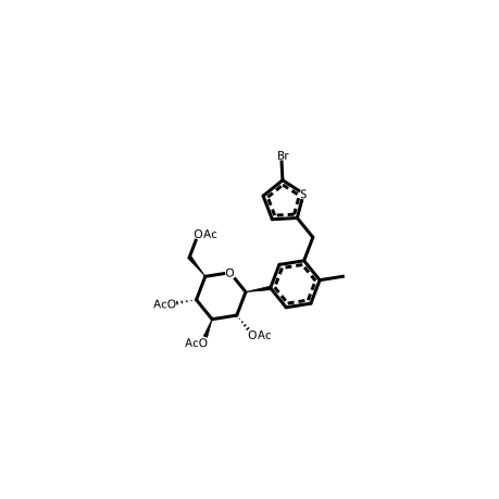 CC(=O)OC[C@H]1O[C@@H](c2ccc(C)c(Cc3ccc(Br)s3)c2)[C@H](OC(C)=O)[C@@H](OC(C)=O)[C@@H]1OC(C)=O